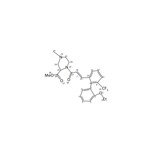 CCOc1ccccc1-c1c(C(F)(F)F)[c]ccc1/C=C/C(=O)N1CCN(C)CC1C(=O)OC